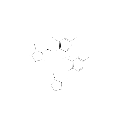 Cc1ccc(OC[C@@H]2CCCN2C)c(Nc2nc(C)cc(N)c2OC[C@H]2CCCN2C)n1